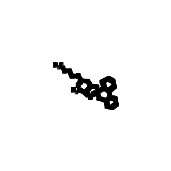 COCCOC(=O)CC(CP1(=O)Oc2ccccc2-c2ccccc21)C(C)=O